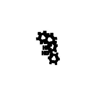 OC1(c2ccccc2)C=Cc2ccc3ccccc3c2N1